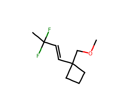 COCC1(/C=C/C(C)(F)F)CCC1